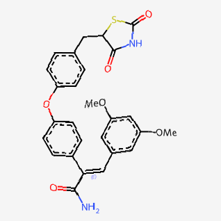 COc1cc(/C=C(/C(N)=O)c2ccc(Oc3ccc(CC4SC(=O)NC4=O)cc3)cc2)cc(OC)c1